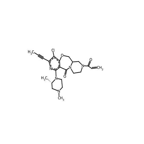 C=CC(=O)N1CCN2C(=O)c3c(N4CCN(C)C[C@@H]4C)nc(C#CC)c(Cl)c3OCC2C1